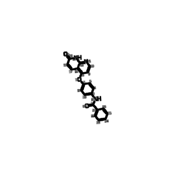 O=C(Nc1ccc(Oc2ccnc3[nH]c(=O)ccc23)cc1)c1ccccc1